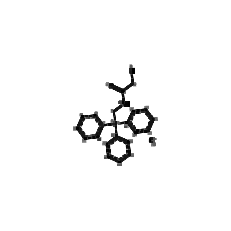 O=C(CCl)NC[P+](c1ccccc1)(c1ccccc1)c1ccccc1.[Cl-]